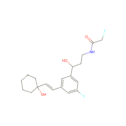 O=C(CF)NCCC(O)c1cc(F)cc(C=CC2(O)CCCCC2)c1